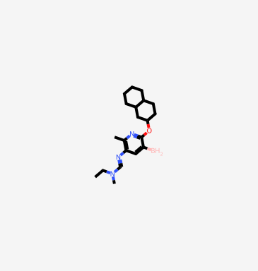 Bc1cc(/N=C/N(C)CC)c(C)nc1OC1CCC2CCCCC2C1